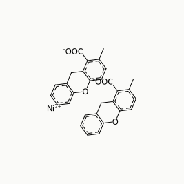 Cc1ccc2c(c1C(=O)[O-])Cc1ccccc1O2.Cc1ccc2c(c1C(=O)[O-])Cc1ccccc1O2.[Ni+2]